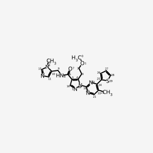 COCCc1c(C(=O)NCc2cncn2C)cnn1-c1ncc(C)c(-c2cccs2)n1